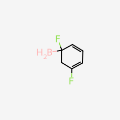 BC1(F)C=CC=C(F)C1